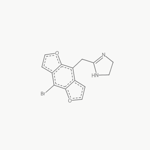 Brc1c2ccoc2c(CC2=NCCN2)c2ccoc12